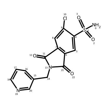 NS(=O)(=O)c1cc2c(cc1Cl)C(=O)N(Cc1cccnc1)C2=O